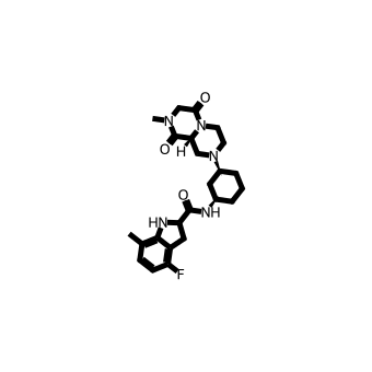 Cc1ccc(F)c2c1NC(C(=O)N[C@@H]1CCC[C@H](N3CCN4C(=O)CN(C)C(=O)[C@H]4C3)C1)C2